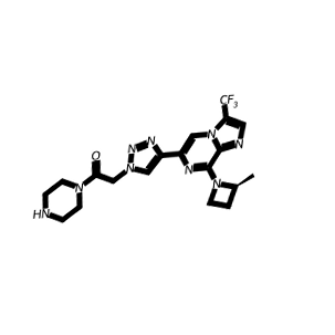 C[C@H]1CCN1c1nc(-c2cn(CC(=O)N3CCNCC3)nn2)cn2c(C(F)(F)F)cnc12